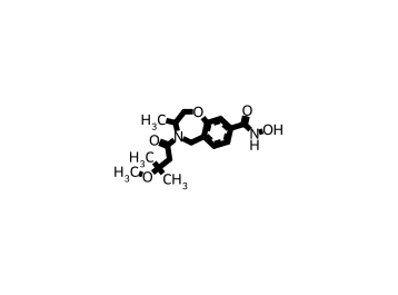 COC(C)(C)CC(=O)N1Cc2ccc(C(=O)NO)cc2OCC1C